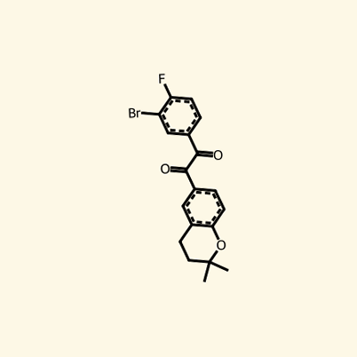 CC1(C)CCc2cc(C(=O)C(=O)c3ccc(F)c(Br)c3)ccc2O1